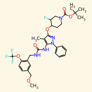 COCc1ccc(OC(F)(F)F)c(CNC(=O)Nc2c(C)c(OC3CCN(C(=O)OC(C)(C)C)CC3F)nn2-c2ccccc2)c1